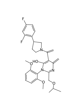 C=C1N=C(COC(C)C)N(c2c(OC)cccc2OC)C(O)=C1C(=C)N1CCC(c2ccc(F)cc2F)C1